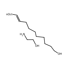 CCCCCCCCC=CCCCCCCCCO.NCCO